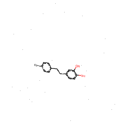 CCc1ccc(CCc2ccc(O)c(O)c2)cc1